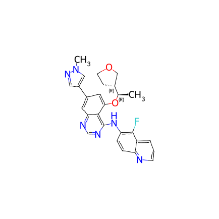 C[C@@H](Oc1cc(-c2cnn(C)c2)cc2ncnc(Nc3ccc4ncccc4c3F)c12)[C@@H]1CCOC1